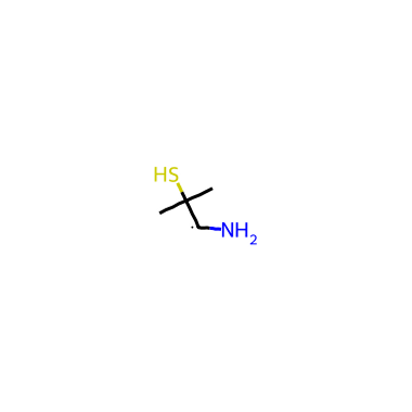 CC(C)(S)[CH]N